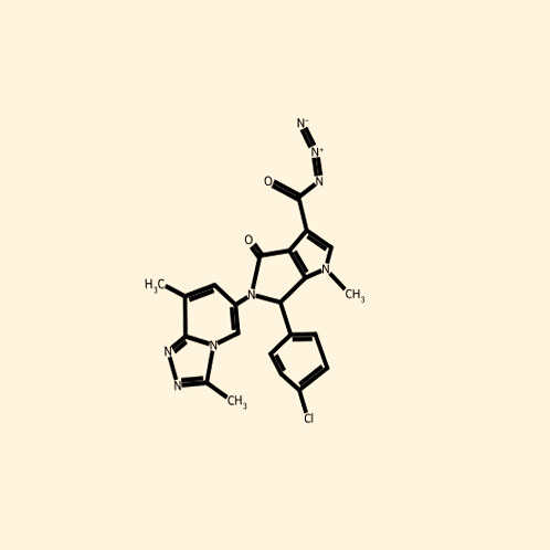 Cc1cc(N2C(=O)c3c(C(=O)N=[N+]=[N-])cn(C)c3C2c2ccc(Cl)cc2)cn2c(C)nnc12